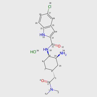 CN(C)C(=O)C[C@@H]1CC[C@@H](NC(=O)c2cc3cc(Cl)ccc3[nH]2)[C@@H](N)C1.Cl